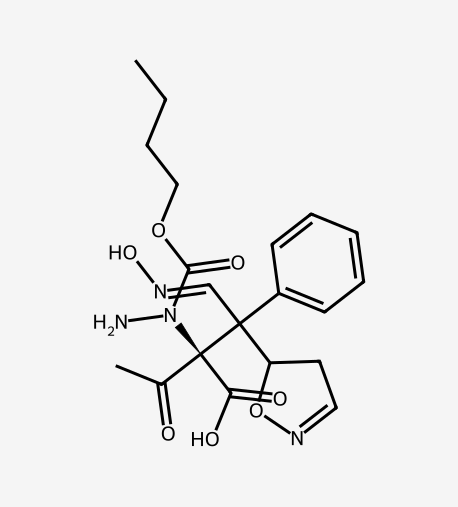 CCCCOC(=O)N(N)[C@](C(C)=O)(C(=O)O)C(C=NO)(c1ccccc1)C1CC=NO1